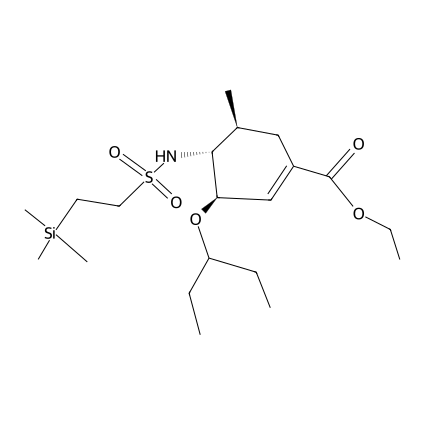 CCOC(=O)C1=C[C@@H](OC(CC)CC)[C@H](NS(=O)(=O)CC[Si](C)(C)C)[C@@H](C)C1